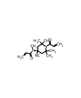 C=CC(=O)N1C(C)(C)CC(C#N)(N(C)C(=O)C=C)CC1(C)C